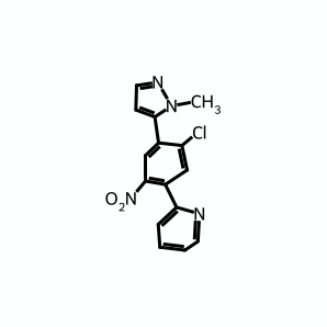 Cn1nccc1-c1cc([N+](=O)[O-])c(-c2ccccn2)cc1Cl